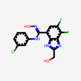 OCc1nc2c(F)c(F)cc(/C(=N/O)Nc3cccc(Cl)c3)c2[nH]1